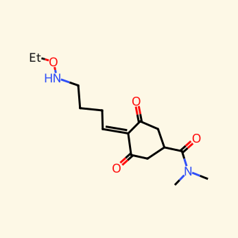 CCONCCCC=C1C(=O)CC(C(=O)N(C)C)CC1=O